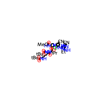 CCNc1nc(Nc2cc(C#N)cc(N3CCC(NC(=O)OC)C(OC(=O)C(NC(=O)C(CCCCNC(=O)OC(C)(C)C)NC(=O)OC(C)(C)C)C(C)C)C3)c2Cl)nn2c(C#N)cnc12